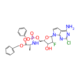 C[C@H](NP(=O)(OC[C@H]1O[C@@H](n2ccc3c(N)nc(Cl)nc32)C(F)C1O)Oc1ccccc1)C(=O)OCc1ccccc1